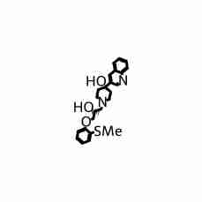 CSc1ccccc1OC[C@@H](O)CN1CCC(O)(c2cnc3ccccc3c2)CC1